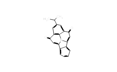 CC(C)c1cc2c(=O)cc3c4ccccc4c4cc(=O)c(c1)c2n34